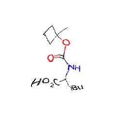 CCC(C)C(NC(=O)OC1(C)CCC1)C(=O)O